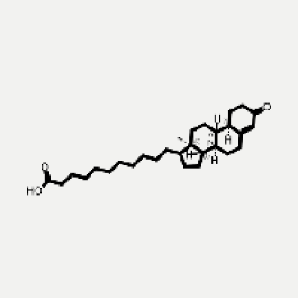 C[C@]12CC[C@H]3[C@@H](CCC4=CC(=O)CC[C@@H]43)[C@@H]1CCC2CCCCCCCCCCC(=O)O